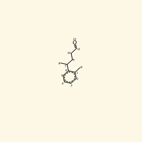 Cc1ccccc1C(C)CCC=O